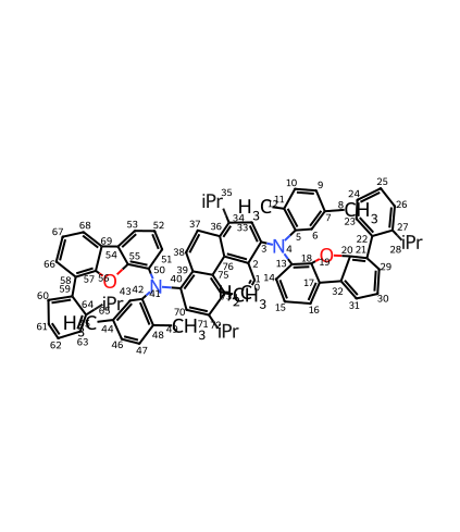 C=Cc1c(N(c2cc(C)ccc2C)c2cccc3c2oc2c(-c4ccccc4C(C)C)cccc23)cc(C(C)C)c2ccc3c(N(c4cc(C)ccc4C)c4cccc5c4oc4c(-c6ccccc6C(C)C)cccc45)cc(C(C)C)c(C)c3c12